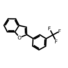 FC(F)(F)c1cccc(-c2cc3ccccc3o2)c1